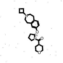 O=C(C1CCOCC1)N1CCC[C@@H]1Oc1ccc2c(c1)CCN(C1CCC1)CC2